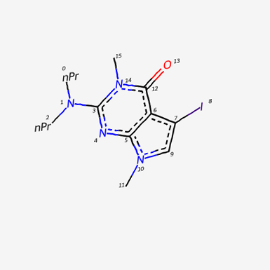 CCCN(CCC)c1nc2c(c(I)cn2C)c(=O)n1C